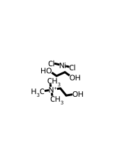 C[N+](C)(C)CCO.OCCO.[Cl][Ni][Cl]